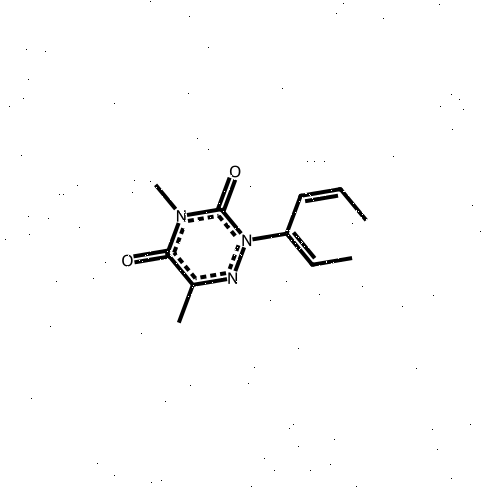 C/C=C\C(=C/C)n1nc(C)c(=O)n(C)c1=O